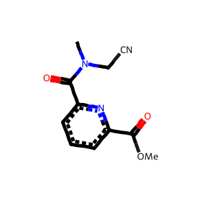 COC(=O)c1cccc(C(=O)N(C)CC#N)n1